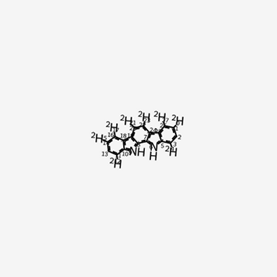 [2H]c1cc([2H])c2[nH]c3c4[nH]c5c([2H])cc([2H])c([2H])c5c4c([2H])c([2H])c3c2c1[2H]